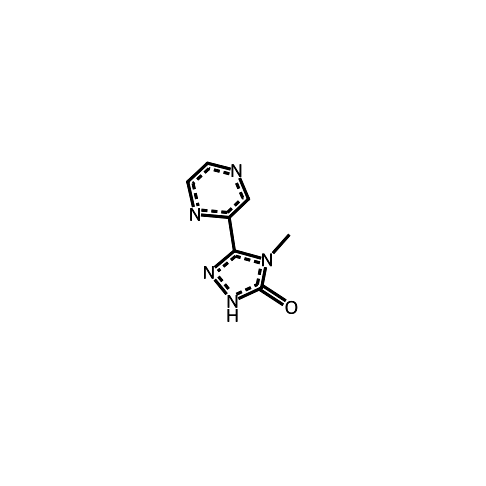 Cn1c(-c2cnccn2)n[nH]c1=O